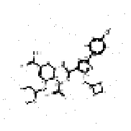 CCC(CC)O[C@@H]1C=C(C(=O)O)C[C@H](NC(=O)c2cc(-c3ccc(Cl)cc3)nn2CC2CCC2)[C@H]1NC(C)=O